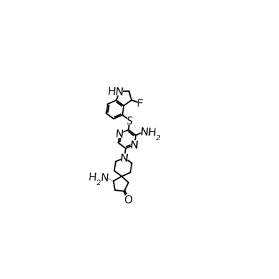 Nc1nc(N2CCC3(CC2)CC(=O)C[C@@H]3N)cnc1Sc1cccc2c1C(F)CN2